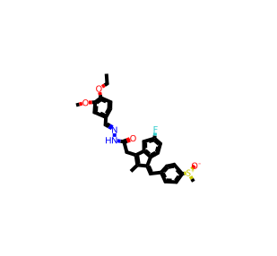 CCOc1ccc(C=NNC(=O)CC2=C(C)/C(=C/c3ccc([S+](C)[O-])cc3)c3ccc(F)cc32)cc1OC